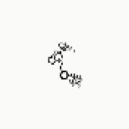 CN(C)C(=O)CN(CCc1cccc(OS(=O)(=O)C(F)(F)F)c1)C1CCCO1